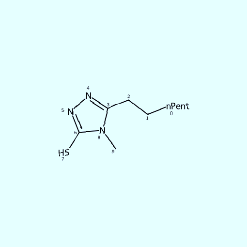 CCCCCCCc1nnc(S)n1C